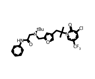 CC(C)(C)N(CC(=O)Nc1ccccc1)Cc1cc(CC(C)(C)n2cc(C(F)(F)F)cc(Cl)c2=O)co1